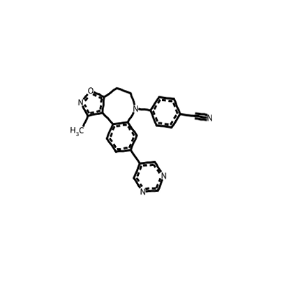 Cc1noc2c1-c1ccc(-c3cncnc3)cc1N(c1ccc(C#N)cc1)CC2